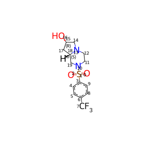 O=S(=O)(c1ccc(C(F)(F)F)cc1)N1CCN2C[C@H](O)C[C@H]2C1